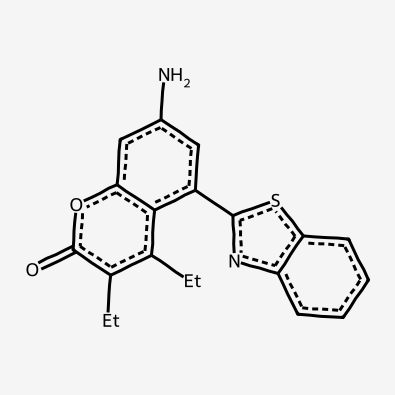 CCc1c(CC)c2c(-c3nc4ccccc4s3)cc(N)cc2oc1=O